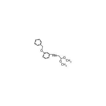 COC(CNCc1cccc(OCc2ccccc2)c1)OC